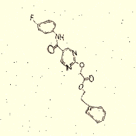 O=C(COc1ncc(C(=O)Nc2ccc(F)cc2)cn1)OCCc1ccccc1